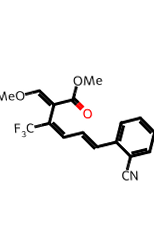 CO\C=C(C(=O)OC)/C(=C\C=C\c1ccccc1C#N)C(F)(F)F